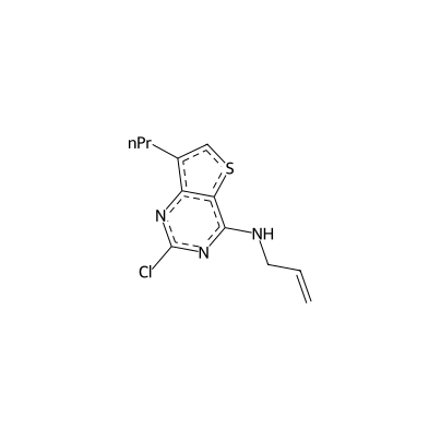 C=CCNc1nc(Cl)nc2c(CCC)csc12